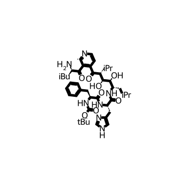 CC[C@H](C)[C@H](N)C(=O)c1[c]nccc1C(=O)[C@H](C(C)C)[C@@H](O)[C@H](O)[C@H](CC(C)C)NC(=O)[C@H](Cc1c[nH]cn1)NC(=O)[C@H](Cc1ccccc1)NC(=O)OC(C)(C)C